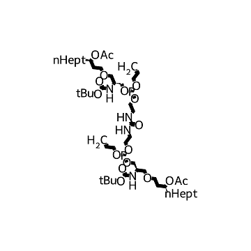 C=CCOP(OCCNC(=O)NCCOP(OCC=C)OC[C@@H](COCC[C@@H](CCCCCCC)OC(C)=O)NC(=O)OC(C)(C)C)OC[C@@H](COCC[C@@H](CCCCCCC)OC(C)=O)NC(=O)OC(C)(C)C